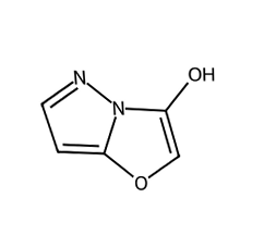 Oc1coc2ccnn12